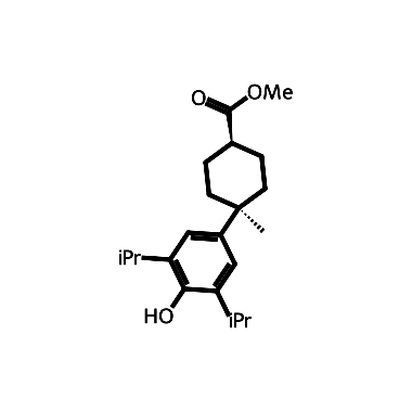 COC(=O)[C@H]1CC[C@@](C)(c2cc(C(C)C)c(O)c(C(C)C)c2)CC1